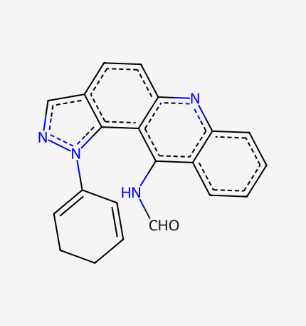 O=CNc1c2ccccc2nc2ccc3cnn(C4=CCCC=C4)c3c12